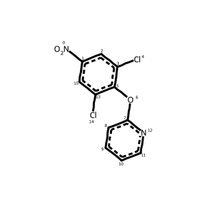 O=[N+]([O-])c1cc(Cl)c(Oc2ccccn2)c(Cl)c1